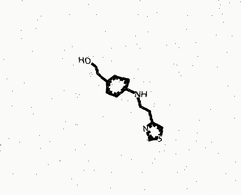 OCCc1ccc(NCCc2cs[c]n2)cc1